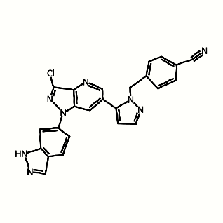 N#Cc1ccc(Cn2nccc2-c2cnc3c(Cl)nn(-c4ccc5cn[nH]c5c4)c3c2)cc1